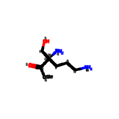 COC(=O)[C@@](N)(CO)CCCN